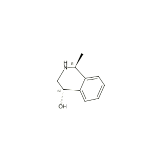 C[C@@H]1NC[C@@H](O)c2ccccc21